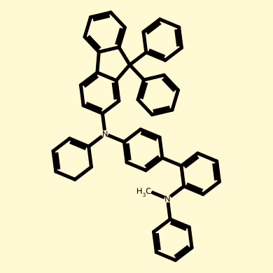 CN(c1ccccc1)c1ccccc1-c1ccc(N(C2=CC=CCC2)c2ccc3c(c2)C(c2ccccc2)(c2ccccc2)c2ccccc2-3)cc1